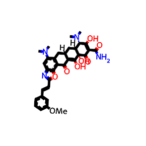 COc1cccc(C=Cc2nc3cc(N(C)C)c4c(c3o2)C(=O)C2=C(O)[C@]3(O)C(=O)C(C(N)=O)=C(O)[C@@H](N(C)C)[C@@H]3C[C@@H]2C4)c1